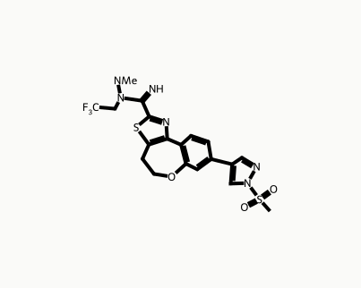 CNN(CC(F)(F)F)C(=N)c1nc2c(s1)CCOc1cc(-c3cnn(S(C)(=O)=O)c3)ccc1-2